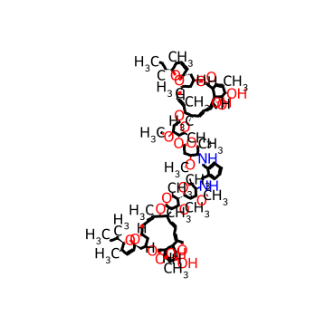 CCC(C)[C@H]1O[C@]2(C=C[C@@H]1C)C[C@@H]1C[C@@H](C/C=C(\C)[C@@H](O[C@H]3C[C@H](OC)C([C@H]4C[C@H](OC)[C@H](NCc5ccccc5CN[C@@H]5[C@H](C)O[C@@H](O[C@H]6[C@H](C)O[C@@H](O[C@@H]7/C(C)=C/C[C@@H]8C[C@@H](C[C@]9(C=C[C@H](C)[C@@H](C(C)CC)O9)O8)OC(=O)[C@@H]8C=C(C)[C@@H](O)[C@H]9OC/C(=C\C=C\[C@@H]7C)[C@]98O)C[C@@H]6OC)C[C@@H]5OC)[C@H](C)O4)[C@H](C)O3)[C@@H](C)/C=C/C=C3\CO[C@@H]4[C@H](O)C(C)=C[C@@H](C(=O)O1)[C@]34O)O2